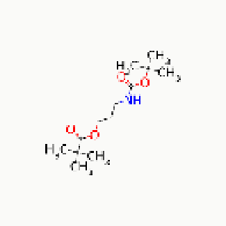 CC(C)(C)OC(=O)NCCCOC(=O)C(C)(C)C